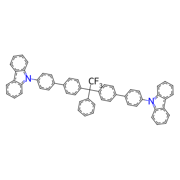 FC(F)(F)C(c1ccccc1)(c1ccc(-c2ccc(-n3c4ccccc4c4ccccc43)cc2)cc1)c1ccc(-c2ccc(-n3c4ccccc4c4ccccc43)cc2)cc1